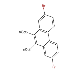 CCCCCCCCc1c(CCCCCCCC)c2cc(Br)ccc2c2ccc(Br)cc12